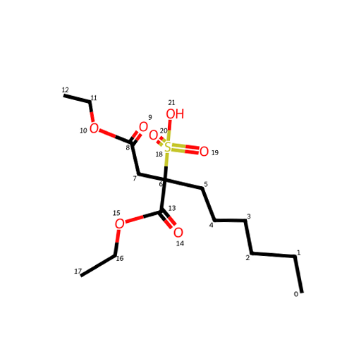 CCCCCCC(CC(=O)OCC)(C(=O)OCC)S(=O)(=O)O